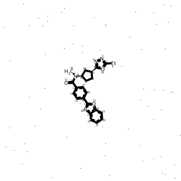 CCc1nnc([C@H]2CC[C@@H](N(C)C(=O)c3ccc(-c4nc5ccccc5o4)cc3)C2)o1